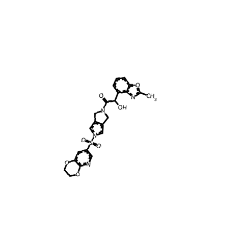 Cc1nc2c(C(O)C(=O)N3Cc4cn(S(=O)(=O)c5cnc6c(c5)OCCO6)cc4C3)cccc2o1